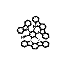 Cc1c(-n2c3ccccc3c3ccc4c5ccccc5sc4c32)c(C#N)c(-n2c3ccccc3c3ccccc32)c(C#N)c1-n1c2ccccc2c2ccc3c4ccccc4sc3c21